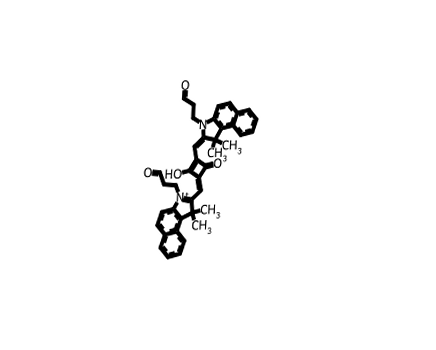 CC1(C)C(/C=C2/C(=O)C(/C=C3/N(CCC=O)c4ccc5ccccc5c4C3(C)C)=C2O)=[N+](CCC=O)c2ccc3ccccc3c21